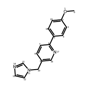 COc1ccc(-c2ccc(Cn3ccnc3)cn2)cc1